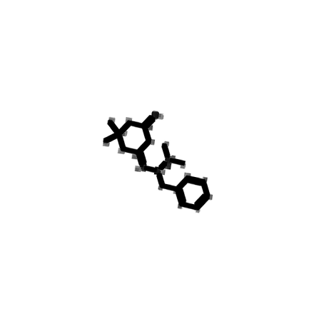 C[SiH](C)N(Cc1ccccc1)N=C1CC(=O)CC(C)(C)C1